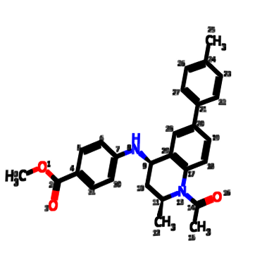 COC(=O)c1ccc(N[C@@H]2C[C@H](C)N(C(C)=O)c3ccc(-c4ccc(C)cc4)cc32)cc1